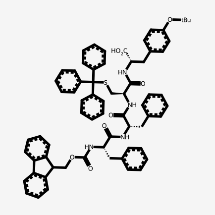 CC(C)(C)Oc1ccc(C[C@H](NC(=O)[C@H](CSC(c2ccccc2)(c2ccccc2)c2ccccc2)NC(=O)[C@H](Cc2ccccc2)NC(=O)[C@H](Cc2ccccc2)NC(=O)OCC2c3ccccc3-c3ccccc32)C(=O)O)cc1